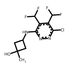 CC1(O)CC(Nc2nnc(Cl)c(C(F)F)c2C(F)F)C1